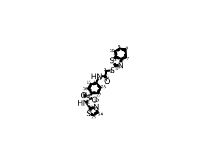 O=C(CSc1nc2ccccc2s1)Nc1ccc(S(=O)(=O)Nc2nccs2)cc1